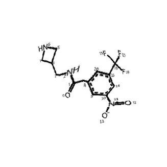 O=C(NCC1CNC1)c1cc([N+](=O)[O-])cc(C(F)(F)F)c1